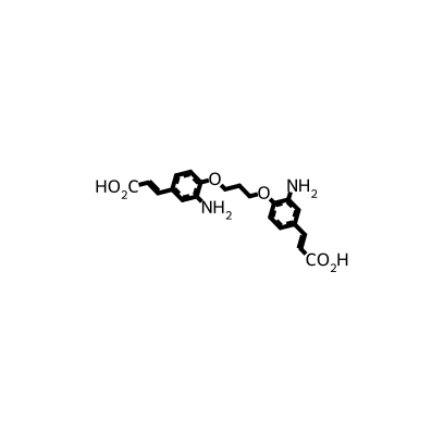 Nc1cc(/C=C/C(=O)O)ccc1OCCCOc1ccc(/C=C/C(=O)O)cc1N